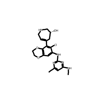 CNc1cc(C)nc(Nc2cc3c(c(C4=CCNC[C@H](O)C4)c2Cl)OCCO3)n1